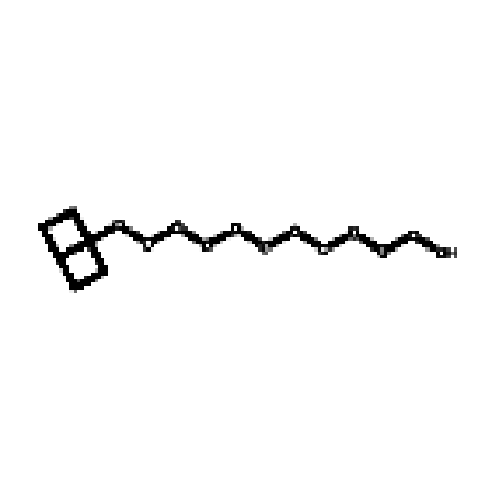 OOOOOOOOOOOOC12CCC1CC2